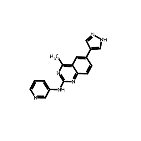 Cc1nc(Nc2cccnc2)nc2ccc(-c3cn[nH]c3)cc12